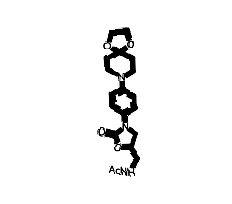 CC(=O)NCC1CN(c2ccc(N3CCC4(CC3)OCCO4)cc2)C(=O)O1